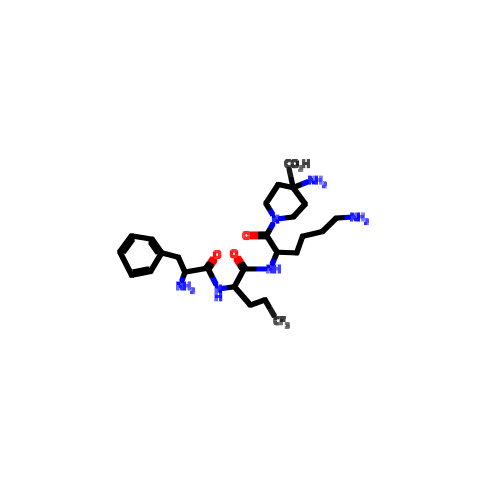 NCCCCC(NC(=O)C(CCC(F)(F)F)NC(=O)C(N)Cc1ccccc1)C(=O)N1CCC(N)(C(=O)O)CC1